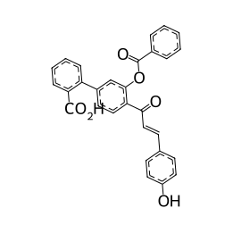 O=C(Oc1cc(-c2ccccc2C(=O)O)ccc1C(=O)/C=C/c1ccc(O)cc1)c1ccccc1